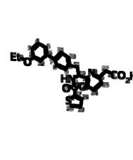 CCOc1cccc(-c2ccc(CC(NS(=O)(=O)c3cccs3)c3cccc(CC(=O)O)n3)cc2)c1